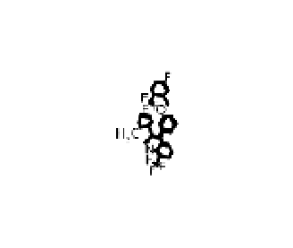 Cc1ccccc1-c1cnc2c(C(F)(F)F)cccc2c1-c1cccc(OCc2cc(F)ccc2C(F)(F)F)c1